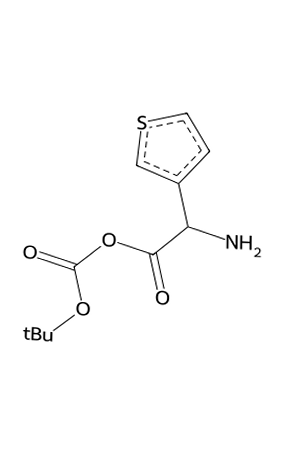 CC(C)(C)OC(=O)OC(=O)C(N)c1ccsc1